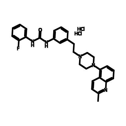 Cc1ccc2c(N3CCN(CCc4cccc(NC(=O)Nc5ccccc5F)c4)CC3)cccc2n1.Cl.Cl